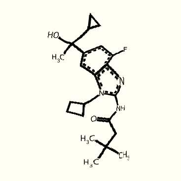 CC(C)(C)CC(=O)Nc1nc2c(F)cc(C(C)(O)C3CC3)cc2n1C1CCC1